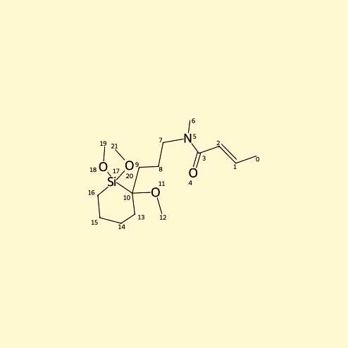 CC=CC(=O)N(C)CCCC1(OC)CCCC[Si]1(OC)OC